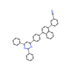 N#Cc1cccc(-c2ccc(-c3ccc(-c4cc(-c5ccccc5)nc(-c5ccccc5)n4)cc3)c3ccccc23)c1